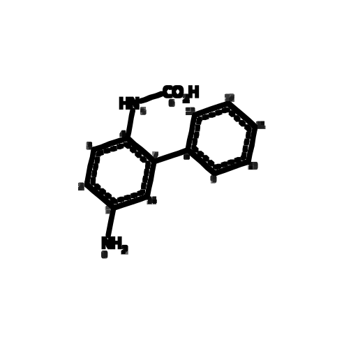 Nc1ccc(NC(=O)O)c(-c2ccccc2)c1